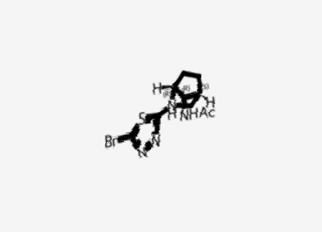 CC(=O)N[C@@H]1[C@H]2CC[C@H]1N(c1nnc(Br)s1)C2